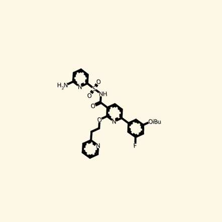 CC(C)COc1cc(F)cc(-c2ccc(C(=O)NS(=O)(=O)c3cccc(N)n3)c(OCCc3ccccn3)n2)c1